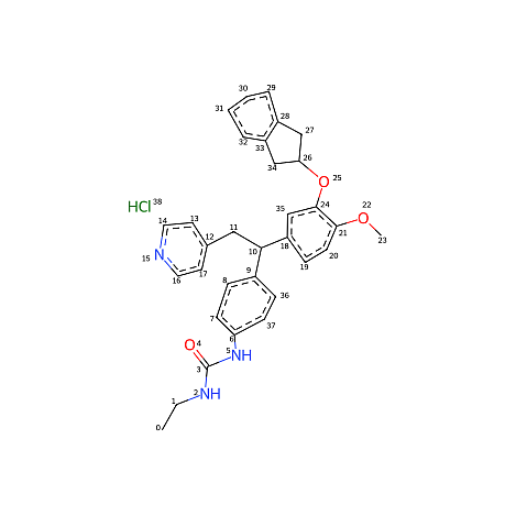 CCNC(=O)Nc1ccc(C(Cc2ccncc2)c2ccc(OC)c(OC3Cc4ccccc4C3)c2)cc1.Cl